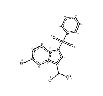 CC(Cl)c1cn(S(=O)(=O)c2ccccc2)c2ccc(Br)cc12